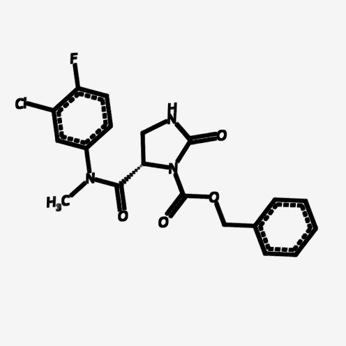 CN(C(=O)[C@@H]1CNC(=O)N1C(=O)OCc1ccccc1)c1ccc(F)c(Cl)c1